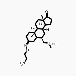 COC[C@@H]1C[C@@H]2[C@H](CC[C@]3(C)C(=O)CC[C@@H]23)[C@@]2(C)CC/C(=N/OCCN)CC12.Cl